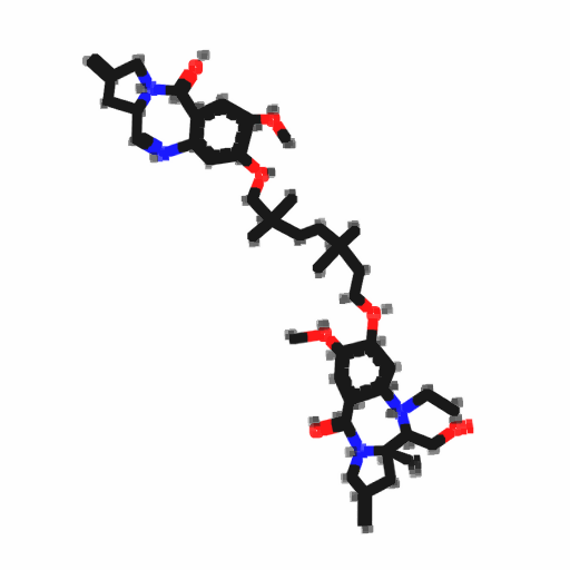 C=C1CC2C=Nc3cc(OCC(C)(C)CCC(C)(C)CCOc4cc5c(cc4OC)C(=O)N4CC(=C)C[C@H]4C(CO)N5CC)c(OC)cc3C(=O)N2C1